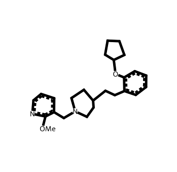 COc1ncccc1CN1CCC(CCc2ccccc2OC2CCCC2)CC1